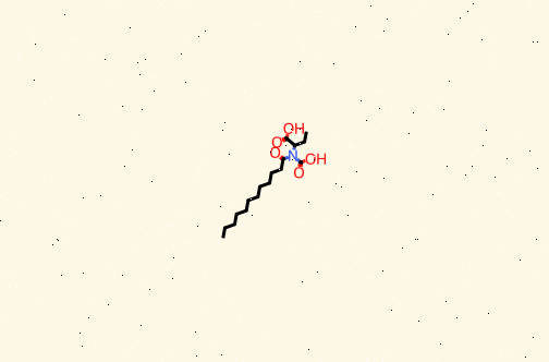 CCCCCCCCCCCC(=O)N(C(=O)O)C(CC)C(=O)O